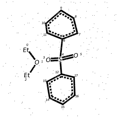 CCOCC.O=S(=O)(c1ccccc1)c1ccccc1